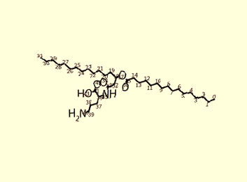 CCCCCCCCCCCCCCCC(=O)OC(CCCCCCCCCCCCC)CC(=O)N[C@@H](CCCN)C(=O)O